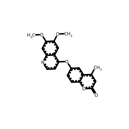 COc1cc2nccc(Oc3ccc4oc(=O)cc(C)c4c3)c2cc1OC